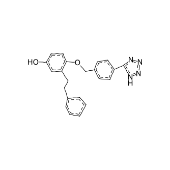 Oc1ccc(OCc2ccc(-c3nnn[nH]3)cc2)c(CCc2ccccc2)c1